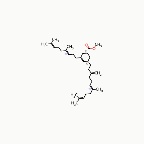 C=C(CC/C=C(\C)CCC=C(C)C)CC[C@H]1C=C(CC/C=C(\C)CCC=C(C)C)C[C@H](C(=O)OC)C1